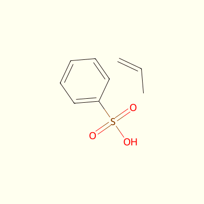 C=CC.O=S(=O)(O)c1ccccc1